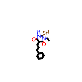 CCN1C(=O)/C(=C\C=C\c2ccccc2)C(=O)NC1S